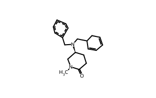 CN1C[C@@H](N(Cc2ccccc2)CC2C=CC=CC2)CCC1=O